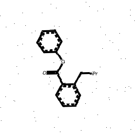 CC(C)Cc1ccccc1C(=O)Oc1ccccc1